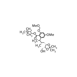 COCOc1cc(OC)cc(C(C)[C@@H](C)C[C@@H]2OC(C)(C)O[C@@H]2CO)c1C(=O)OCC[Si](C)(C)C